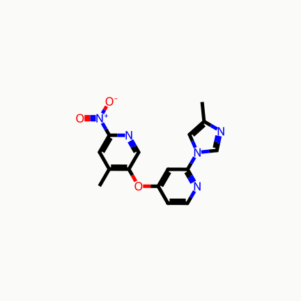 Cc1cn(-c2cc(Oc3cnc([N+](=O)[O-])cc3C)ccn2)cn1